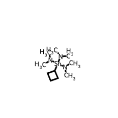 C[N](C)[Sn]([CH]1CCC1)([N](C)C)[N](C)C